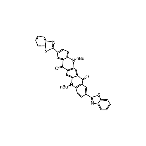 CCCCn1c2ccc(-c3nc4ccccc4s3)cc2c(=O)c2cc3c(cc21)c(=O)c1cc(-c2nc4ccccc4s2)ccc1n3CCCC